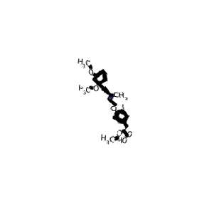 CCOC1=CC=CC(C#C/C(C)=C/COc2ccc(C[C@H](OCC)C(=O)O)cc2I)(OCC)C1